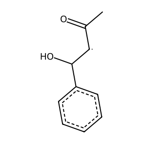 CC(=O)[CH]C(O)c1ccccc1